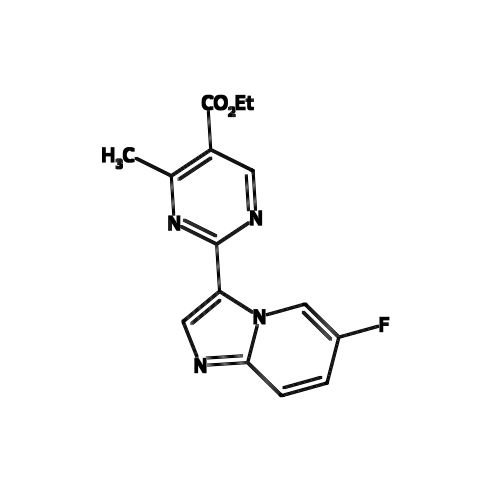 CCOC(=O)c1cnc(-c2cnc3ccc(F)cn23)nc1C